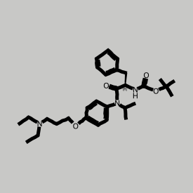 CCN(CC)CCCOc1ccc(N(C(=O)[C@@H](Cc2ccccc2)NC(=O)OC(C)(C)C)C(C)C)cc1